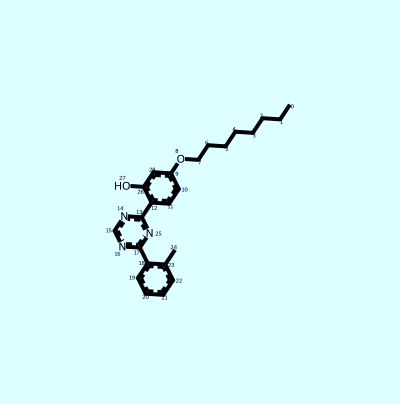 CCCCCCCCOc1ccc(-c2ncnc(-c3ccccc3C)n2)c(O)c1